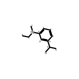 CCN(C)c1cccc(C(C)C)c1